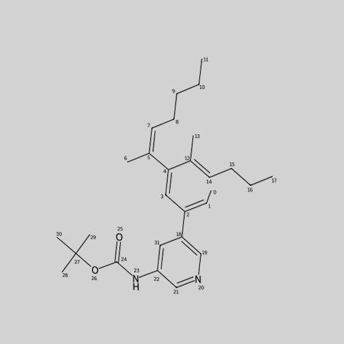 C\C=C(/C=C(C(/C)=C\CCCC)\C(C)=C\CCC)c1cncc(NC(=O)OC(C)(C)C)c1